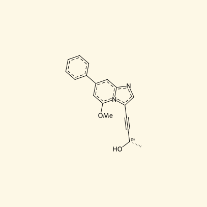 COc1cc(-c2ccccc2)cc2ncc(C#C[C@H](C)O)n12